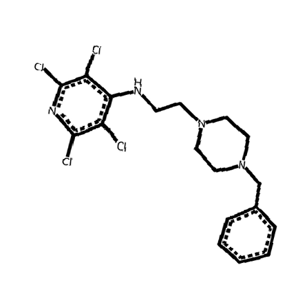 Clc1nc(Cl)c(Cl)c(NCCN2CCN(Cc3ccccc3)CC2)c1Cl